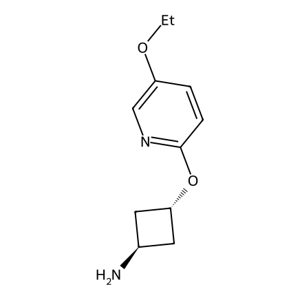 CCOc1ccc(O[C@H]2C[C@H](N)C2)nc1